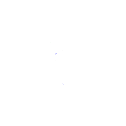 NC(CC(=O)O)c1ccc(NC(=O)c2c(Cl)cccc2Cl)cc1